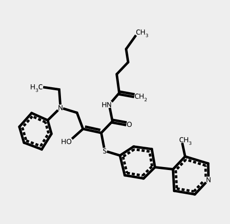 C=C(CCCC)NC(=O)/C(Sc1ccc(-c2ccncc2C)cc1)=C(/O)CN(CC)c1ccccc1